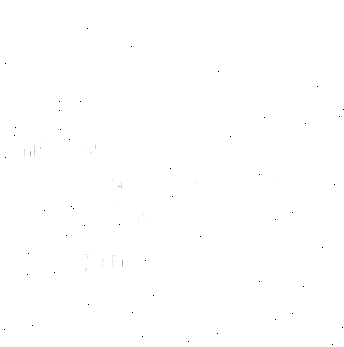 CCCO[Si](CBr)(CCc1ccccc1)OCCC